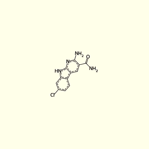 NC(=O)c1cc2c(nc1N)[nH]c1cc(Cl)ccc12